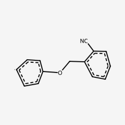 N#Cc1ccccc1COc1cc[c]cc1